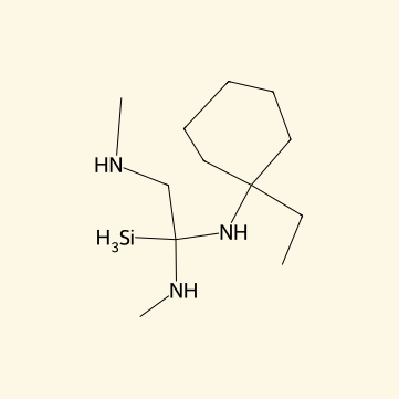 CCC1(NC([SiH3])(CNC)NC)CCCCC1